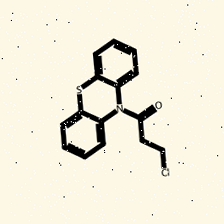 O=C(CCCl)N1c2ccccc2Sc2ccccc21